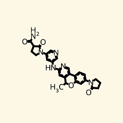 CC1Oc2cc(N3CCCC3=O)ccc2-c2cnc(Nc3cncc(N4CCC(C(N)=O)C4=O)c3)cc21